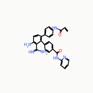 C=CC(=O)Nc1ccc(-c2ccc(N)c(C(=N)N)c2-c2ccc(C(=O)Nc3ccccn3)cc2)cc1